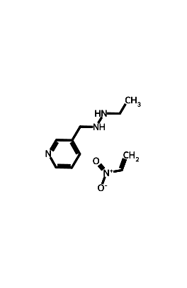 C=C[N+](=O)[O-].CCNNCc1cccnc1